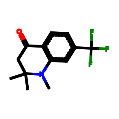 CN1c2cc(C(F)(F)F)ccc2C(=O)CC1(C)C